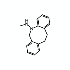 CNN1Cc2ccccc2CCc2ccccc21